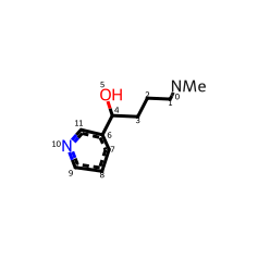 CNCCCC(O)c1cccnc1